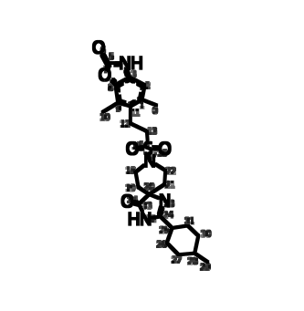 Cc1cc2[nH]c(=O)oc2c(C)c1CCS(=O)(=O)N1CCC2(CC1)N=C(C1CCC(C)CC1)NC2=O